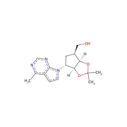 Cc1ncnc2c1ccn2[C@@H]1C[C@@H](CO)[C@H]2OC(C)(C)O[C@H]21